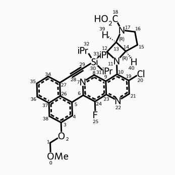 COCOc1cc(-c2ncc3c(N4C[C@@H]5[C@H]4CCN5C(=O)O)c(Cl)cnc3c2F)c2c(C#C[Si](C(C)C)(C(C)C)C(C)C)cccc2c1